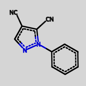 N#Cc1cnn(-c2ccccc2)c1C#N